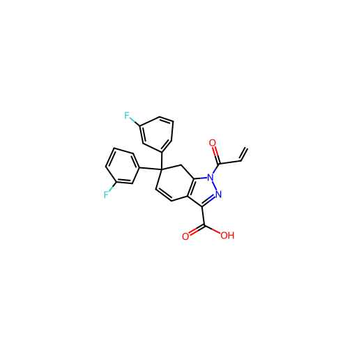 C=CC(=O)n1nc(C(=O)O)c2c1CC(c1cccc(F)c1)(c1cccc(F)c1)C=C2